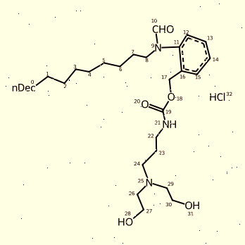 CCCCCCCCCCCCCCCCCCN(C=O)c1ccccc1COC(=O)NCCCN(CCO)CCO.Cl